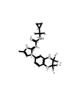 Cc1cn(-c2ccc3c(c2)OC(F)(F)C(F)(F)O3)c(=NC(=O)NC(C)(C)C2CC2)s1